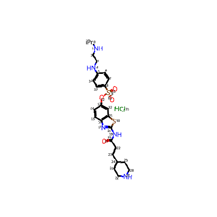 CC(C)NCCNc1ccc(S(=O)(=O)Oc2ccc3nc(NC(=O)CCC4CCNCC4)sc3c2)cc1.Cl